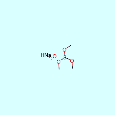 COB(OC)OC.O.[NaH]